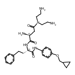 NCCN(CCN)C(=O)C[C@H](N)C(=O)N[C@@H](CCc1ccccc1)C(=O)Nc1ccc(OCC2CC2)cc1